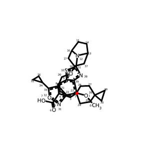 COc1cc(C(=O)O)cc2sc(N3C4CCC3CC(OCc3c(C5CCC6(CC5)CC6)noc3C3CC3)C4)nc12